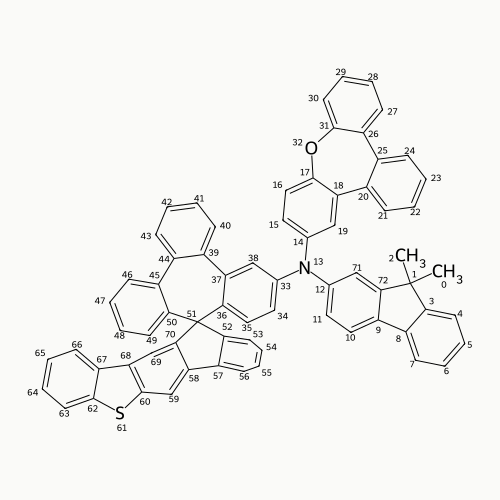 CC1(C)c2ccccc2-c2ccc(N(c3ccc4c(c3)-c3ccccc3-c3ccccc3O4)c3ccc4c(c3)-c3ccccc3-c3ccccc3C43c4ccccc4-c4cc5sc6ccccc6c5cc43)cc21